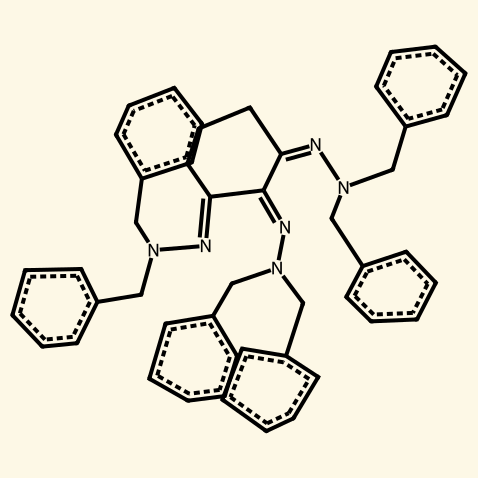 c1ccc(CN(Cc2ccccc2)N=C2CCCC(=NN(Cc3ccccc3)Cc3ccccc3)C2=NN(Cc2ccccc2)Cc2ccccc2)cc1